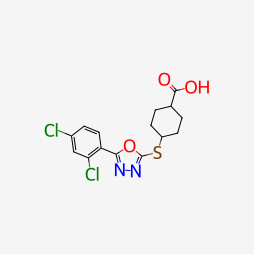 O=C(O)C1CCC(Sc2nnc(-c3ccc(Cl)cc3Cl)o2)CC1